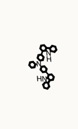 c1ccc(N(c2ccc(-c3cccc4c3[nH]c3ccccc34)cc2)c2ccc(-c3cccc4c3[nH]c3ccccc34)cc2)cc1